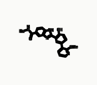 CCC(C)NC(=O)c1ccc2[nH]c(-c3cc(-c4cccnc4OC)ccc3O)nc2c1